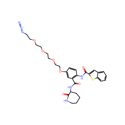 [N-]=[N+]=NCCOCCOCCOCCOc1ccc(NC(=O)c2cc3ccccc3s2)c(C(=O)NC2CCCCNC2=O)c1